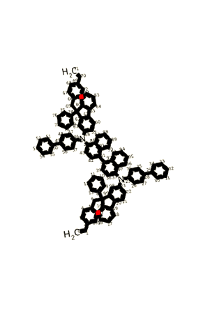 C=Cc1ccc(CC2(c3ccccc3)c3ccccc3-c3ccc(N(c4ccc(-c5ccccc5)cc4)c4ccc(-c5ccc(N(c6ccc(-c7ccccc7)cc6)c6ccc7c(c6)C(Cc6ccc(C=C)cc6)(c6ccccc6)c6ccccc6-7)c6ccccc56)c5ccccc45)cc32)cc1